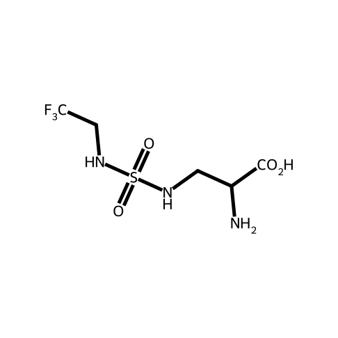 NC(CNS(=O)(=O)NCC(F)(F)F)C(=O)O